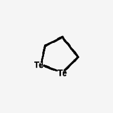 C1C[Te][Te]C1